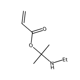 C=CC(=O)OC(C)(C)NCC